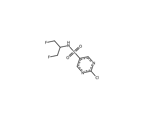 O=S(=O)(NC(CF)CF)c1cnc(Cl)nc1